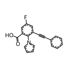 O=C(O)c1cc(F)cc(C#Cc2ccccc2)c1-n1cccc1